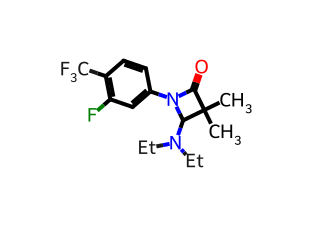 CCN(CC)C1N(c2ccc(C(F)(F)F)c(F)c2)C(=O)C1(C)C